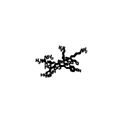 NCCCC[C@H](NC(=O)[C@H](CCCCN)NN[C@@H](Cc1ccc(O)cc1)C(=O)N[C@@H](CCCNC(N)N)C(=O)C(=O)[C@H](CO)NO)C(=O)C=O